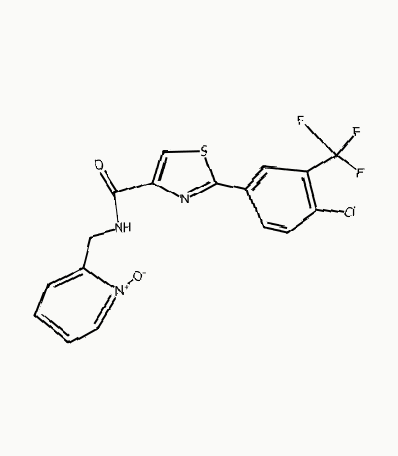 O=C(NCc1cccc[n+]1[O-])c1csc(-c2ccc(Cl)c(C(F)(F)F)c2)n1